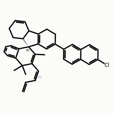 C=C/C=C\C1=C(C)[C@]2(C3=C(CCC(c4ccc5cc(Cl)ccc5c4)=C3)C3C=CCCC32)c2ccccc2C1(C)C